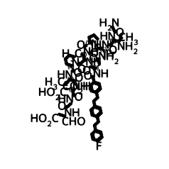 CC(C)[C@H](NC(=O)[C@H](NC(=O)CN)C(C)N)C(=O)N1CCC[C@H]1C(=O)N[C@H](C)C(NC(=O)[C@H](CC(N)=O)NC(=O)c1ccc(CCc2ccc(CCc3ccc(F)cc3)cc2)cc1)C(=O)N1CCCC[C@@H]1C(=O)N[C@H](C(=O)N[C@@H](CC(=O)O)C(=O)NCC(=O)NC(C=O)CC(=O)O)C(C)C(=O)O